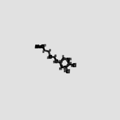 COCCOCOc1cnc(Cl)c(Cl)c1